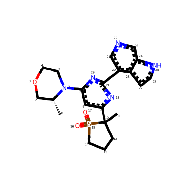 C[C@@H]1COCCN1c1cc(C2(C)CCCS2(=O)=O)nc(-c2cncc3[nH]ccc23)n1